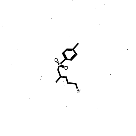 Cc1ccc(S(=O)(=O)CC(C)CCCBr)cc1